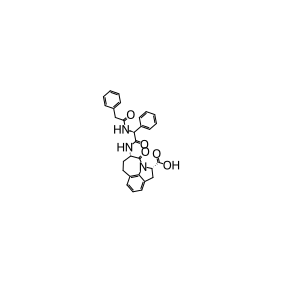 O=C(Cc1ccccc1)N[C@H](C(=O)N[C@H]1CCc2cccc3c2N(C1=O)[C@H](C(=O)O)C3)c1ccccc1